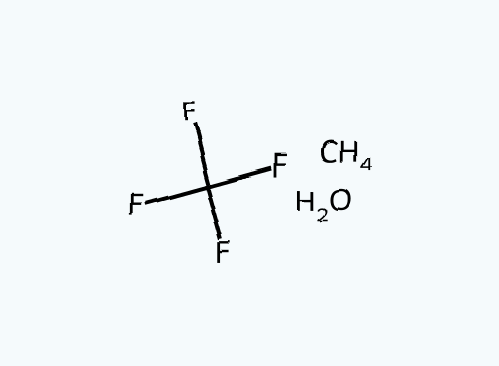 C.FC(F)(F)F.O